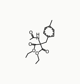 CCOC(=O)C(Cc1ccc(C)cc1)(NC(C)=O)C(=O)OCC